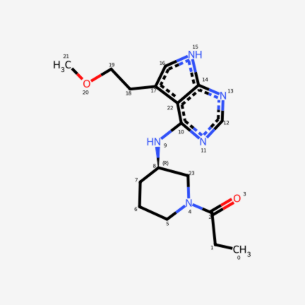 CCC(=O)N1CCC[C@@H](Nc2ncnc3[nH]cc(CCOC)c23)C1